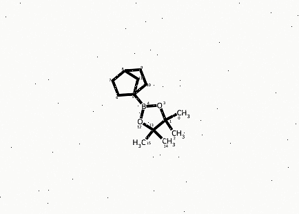 CC1(C)OB(C23CCC(CC2)C3)OC1(C)C